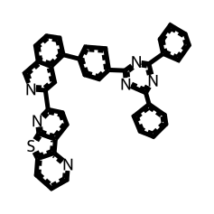 c1ccc(-c2nc(-c3ccccc3)nc(-c3ccc(-c4cccc5cnc(-c6ccc7c(n6)sc6cccnc67)cc45)cc3)n2)cc1